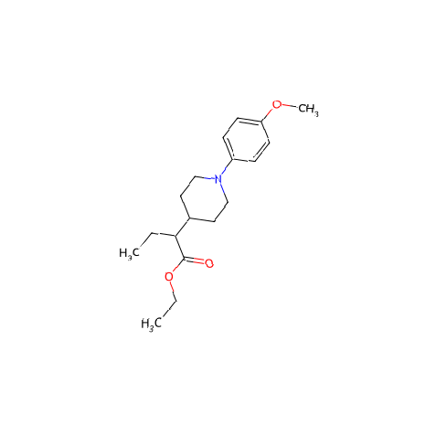 CCOC(=O)C(CC)C1CCN(c2ccc(OC)cc2)CC1